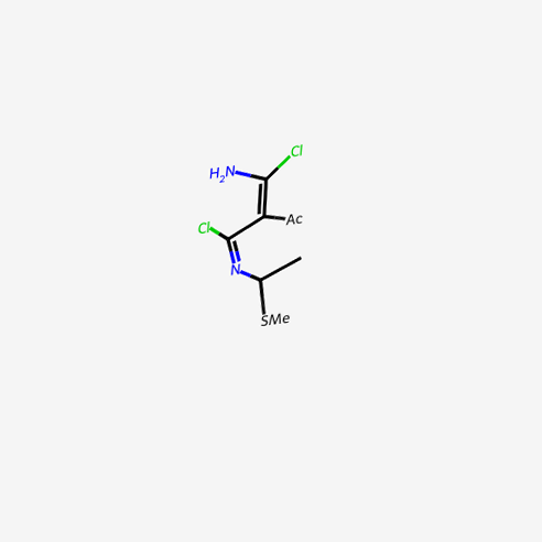 CSC(C)/N=C(Cl)\C(C(C)=O)=C(/N)Cl